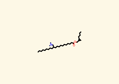 CCCCCCCCCC(CCCCCCCCCCC(=O)OCC1CC1CCCC)CN(C)C